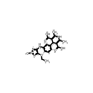 CCOc1n[s+]([O-])nc1Nc1cccc(C2C(C(=O)O)=C(C)NC(C)=C2C(=O)O)c1